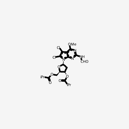 COc1nc(NC=O)nc2c1c(Cl)c(Cl)n2[C@@H]1C[C@H](OC(=O)C(C)C)[C@@H](COC(=O)C(C)C)O1